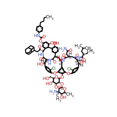 CCCCc1ccc(NC(=O)Oc2cc(O)c3c(c2)[C@@H](C(=O)CC2C4CC5CC(C4)CC2C5)NC(=O)[C@H]2NC(=O)[C@H](CC(=O)[C@@H]4NC(=O)[C@H](CC(N)=O)CC(=O)[C@H](NC(=O)[C@H](CC)CC(C)C)[C@H](O)c5ccc(c(Cl)c5)Oc5cc4cc(c5O[C@@H]4O[C@H](CO)[C@@H](O)[C@H](O)[C@H]4O[C@H]4C[C@](C)(N)[C@H](O)[C@H](C)O4)Oc4ccc(cc4Cl)[C@H]2O)c2ccc(O)c-3c2)cc1